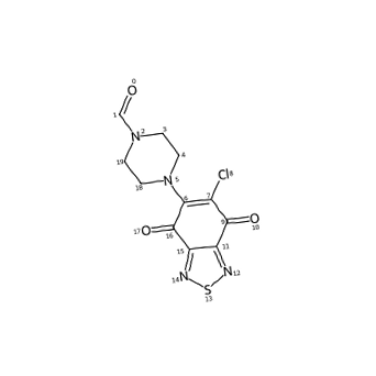 O=CN1CCN(C2=C(Cl)C(=O)c3nsnc3C2=O)CC1